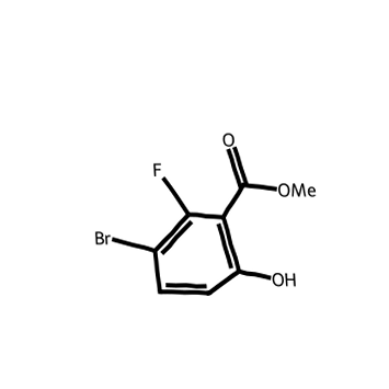 COC(=O)c1c(O)ccc(Br)c1F